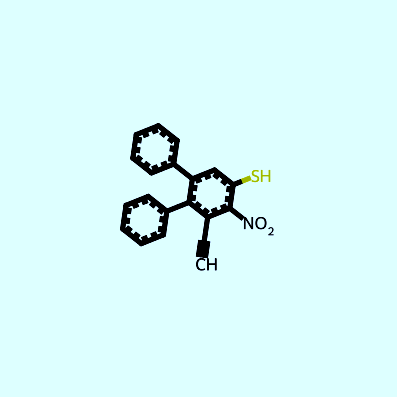 C#Cc1c(-c2ccccc2)c(-c2ccccc2)cc(S)c1[N+](=O)[O-]